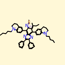 CCCCCN1CCCc2cc(C3=c4nc(-c5ccccc5)c(-c5ccccc5)nc4=C(c4ccc5c(c4)CCCN5CCCCC)C(=C(/C)CC)/C3=N\SC)ccc21